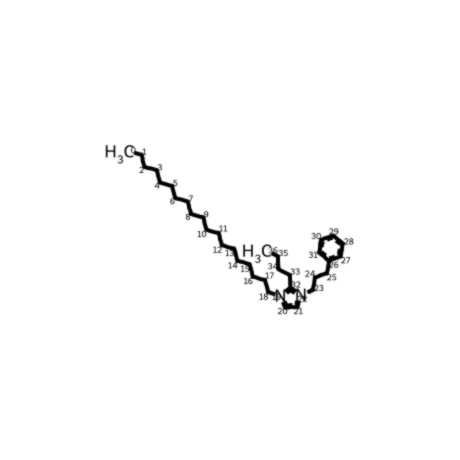 CCCCCCCCCCCCCCCCCCCn1cc[n+](CCCc2ccccc2)c1CCCC